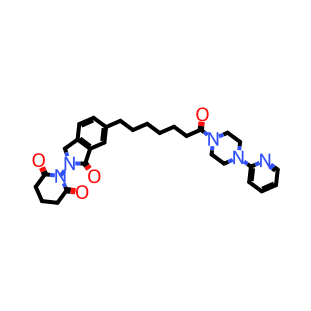 O=C(CCCCCCc1ccc2c(c1)C(=O)N(N1C(=O)CCCC1=O)C2)N1CCN(c2ccccn2)CC1